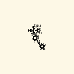 CC(C)(C)CC(=O)Nc1nc2ccc(OCc3ccccn3)nc2n1C1CCC1